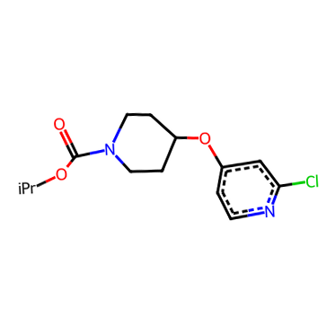 CC(C)OC(=O)N1CCC(Oc2ccnc(Cl)c2)CC1